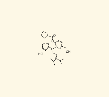 CC(C)N(CC[C@H](c1ccccc1)c1cc(CO)ccc1OC(=O)C1CCCC1)C(C)C.Cl